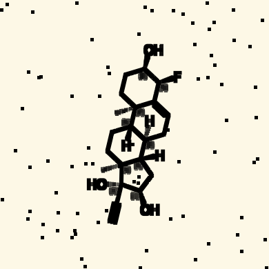 C#C[C@]1(O)[C@H](O)C[C@H]2[C@@H]3CC=C4[C@H](F)[C@H](O)CC[C@]4(C)[C@H]3CC[C@@]21C